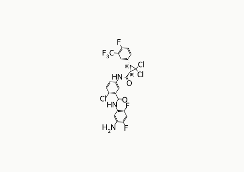 Nc1cc(NC(=O)c2cc(NC(=O)[C@H]3[C@H](c4ccc(F)c(C(F)(F)F)c4)C3(Cl)Cl)ccc2Cl)c(F)cc1F